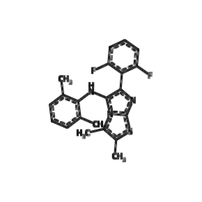 Cc1cccc(C)c1Nc1c(-c2c(F)cccc2F)nc2sc(C)c(C)n12